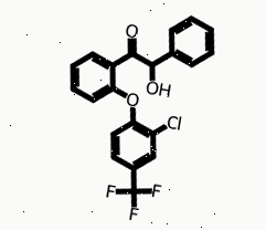 O=C(c1ccccc1Oc1ccc(C(F)(F)F)cc1Cl)C(O)c1ccccc1